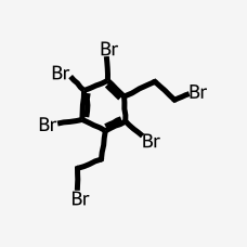 BrCCc1c(Br)c(Br)c(Br)c(CCBr)c1Br